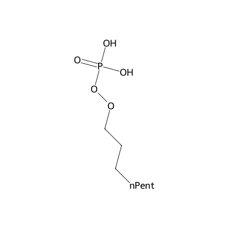 CCCCCCCCOOP(=O)(O)O